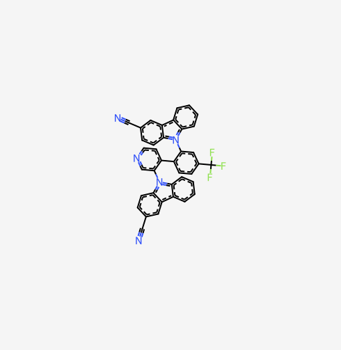 N#Cc1ccc2c(c1)c1ccccc1n2-c1cnccc1-c1ccc(C(F)(F)F)cc1-n1c2ccccc2c2cc(C#N)ccc21